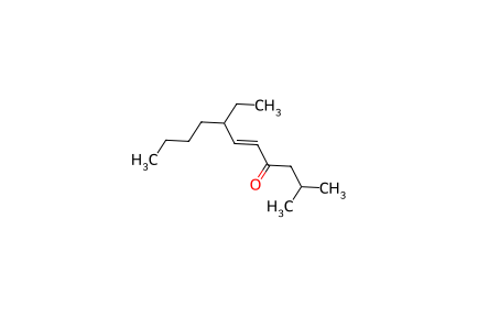 CCCCC(C=CC(=O)CC(C)C)CC